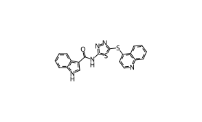 O=C(Nc1nnc(Sc2ccnc3ccccc23)s1)c1c[nH]c2ccccc12